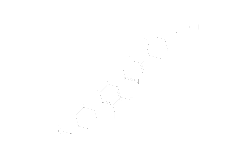 CCCC1CCC(c2ccc(-c3ccc(C4CCC(CC)CC4)c(F)c3F)nc2)OC1